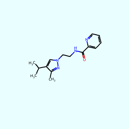 Cc1nn(CCNC(=O)c2ccccn2)cc1C(C)C